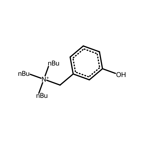 CCCC[N+](CCCC)(CCCC)Cc1cccc(O)c1